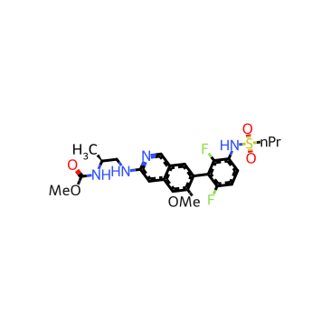 CCCS(=O)(=O)Nc1ccc(F)c(-c2cc3cnc(NC[C@H](C)NC(=O)OC)cc3cc2OC)c1F